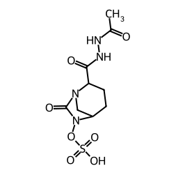 CC(=O)NNC(=O)C1CCC2CN1C(=O)N2OS(=O)(=O)O